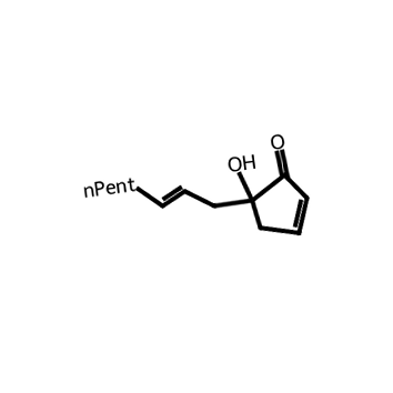 CCCCCC=CCC1(O)CC=CC1=O